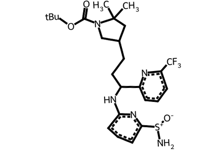 CC(C)(C)OC(=O)N1CC(CCC(Nc2cccc([S+](N)[O-])n2)c2cccc(C(F)(F)F)n2)CC1(C)C